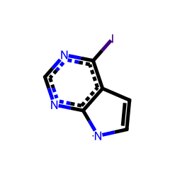 Ic1ncnc2c1C=C[N]2